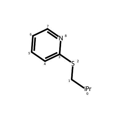 [CH2]C(C)CSc1ccccn1